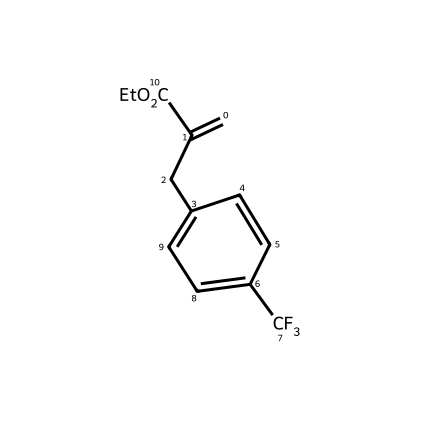 C=C(Cc1ccc(C(F)(F)F)cc1)C(=O)OCC